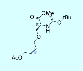 COC(=O)[C@H](COC/C=C\COC(C)=O)NC(=O)OC(C)(C)C